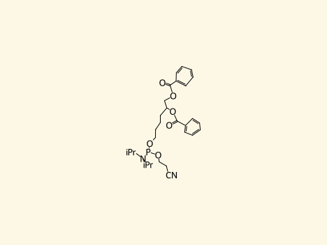 CC(C)N(C(C)C)P(OCCC#N)OCCCCC(COC(=O)c1ccccc1)OC(=O)c1ccccc1